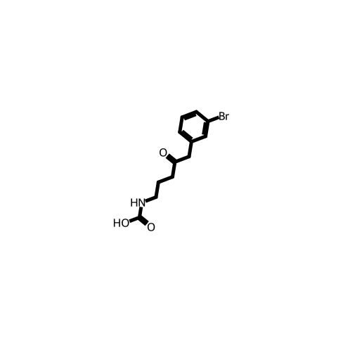 O=C(CCCNC(=O)O)Cc1cccc(Br)c1